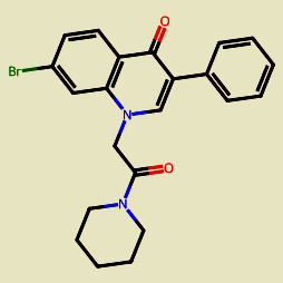 O=C(Cn1cc(-c2ccccc2)c(=O)c2ccc(Br)cc21)N1CCCCC1